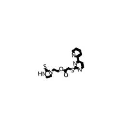 O=C(CSc1nccc(-c2ccccn2)n1)OCCN1CCNC1=S